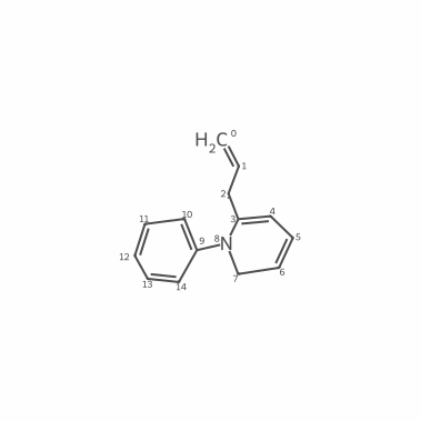 C=C[CH]C1=CC=CCN1c1ccccc1